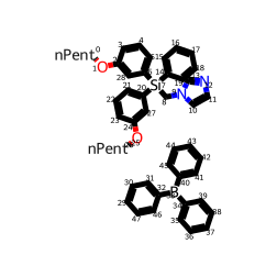 CCCCCOc1cccc([Si](Cn2ccnc2)(c2ccccc2)c2cccc(OCCCCC)c2)c1.c1ccc(B(c2ccccc2)c2ccccc2)cc1